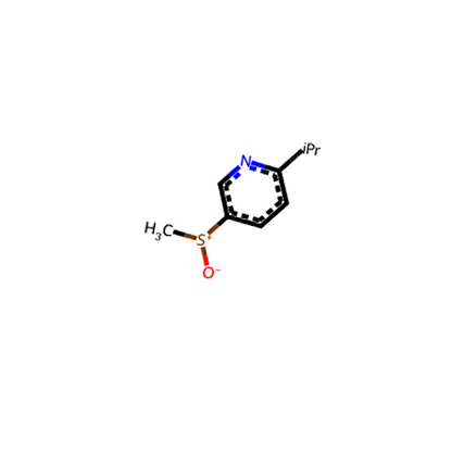 CC(C)c1ccc([S+](C)[O-])cn1